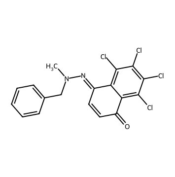 CN(Cc1ccccc1)N=C1C=CC(=O)c2c(Cl)c(Cl)c(Cl)c(Cl)c21